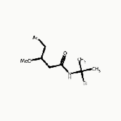 CCC(C)(C)NC(=O)CC(CC(C)=O)OC